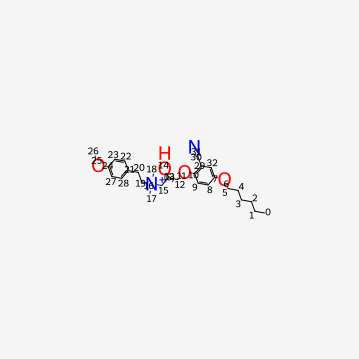 CCCCCCOc1ccc(OC[C@@H](O)C[N+](C)(C)CCc2ccc(OC)cc2)c(C#N)c1